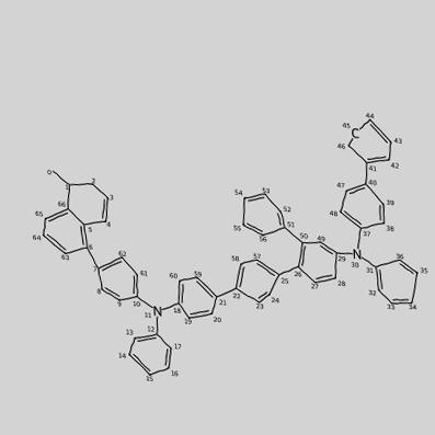 CC1CC=Cc2c(-c3ccc(N(c4ccccc4)c4ccc(-c5ccc(-c6ccc(N(c7ccccc7)c7ccc(C8=CC=CCC8)cc7)cc6-c6ccccc6)cc5)cc4)cc3)cccc21